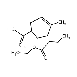 C=C(C)C1CC=C(C)CC1.CCCC(=O)OCC